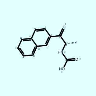 C[C@H](NC(=O)O)C(=O)c1ccc2ccccc2c1